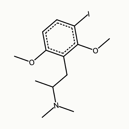 COc1ccc(I)c(OC)c1CC(C)N(C)C